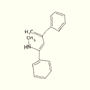 C=C(/C=C(\NC)c1ccccc1)c1ccccc1